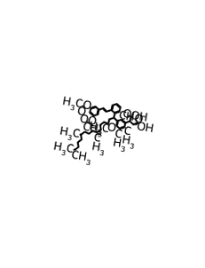 CC(=O)Oc1cc(/C=C/c2ccccc2C2CC(C)(CCCC(C)CCCC(C)CCCC(C)C)Oc3c(C)c(C)c(C(CC(=O)O)C(=O)O)c(C)c32)cc(OC(C)=O)c1